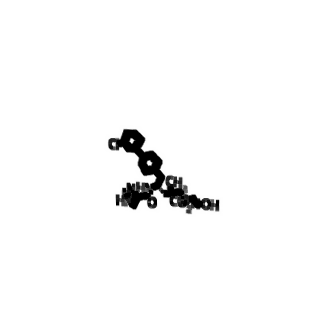 CC(COCCO)(C[C@@H](Cc1ccc(-c2cccc(Cl)c2)cc1)NC(=O)c1c[nH]nn1)C(=O)O